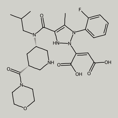 CC1=C(C(=O)N(CC(C)C)[C@@H]2CNC[C@H](C(=O)N3CCOCC3)C2)NN(/C(=C/C(=O)O)C(=O)O)N1c1ccccc1F